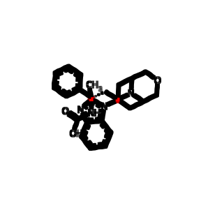 Cc1nc2ccccc2n1C1CC2COCC(C1)N2CC[C@H](NC(=O)O)c1ccccc1